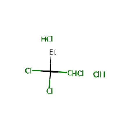 CCC(Cl)(Cl)Cl.Cl.Cl.Cl